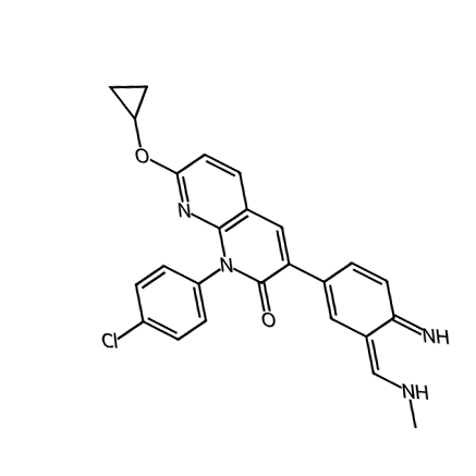 CN/C=C1/C=C(c2cc3ccc(OC4CC4)nc3n(-c3ccc(Cl)cc3)c2=O)C=CC1=N